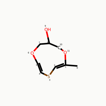 C/C1=C\S/C=C/OCC(O)CO1